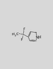 CC(F)(F)C1=CCN[C]=C1